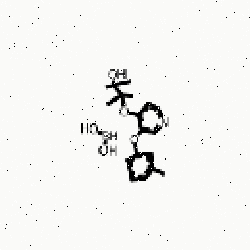 Cc1cccc(Oc2cnccc2OC(C)(C)C(C)(C)O)c1.OBO